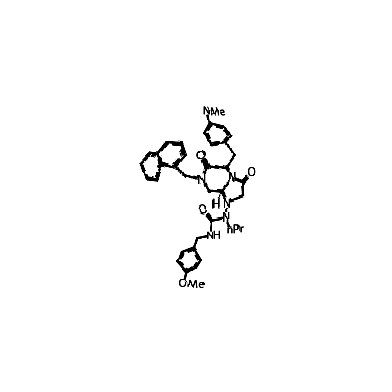 CCCN(C(=O)NCc1ccc(OC)cc1)N1CC(=O)N2C(Cc3ccc(NC)cc3)C(=O)N(Cc3cccc4ccccc34)C[C@@H]21